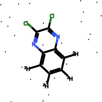 [2H]c1c([2H])c([2H])c2nc(Cl)c(Cl)nc2c1[2H]